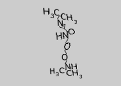 CC(C)CN1CC(C(=O)NCCOCCOCCNC(C)C)C1